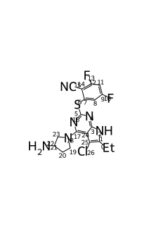 CCc1[nH]c2nc(Sc3cc(F)cc(F)c3C#N)nc(N3CC[C@H](N)C3)c2c1Cl